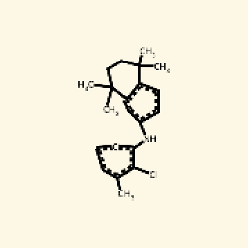 Cc1cccc(Nc2ccc3c(c2)C(C)(C)CCC3(C)C)c1Cl